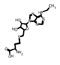 CCNc1ncnc2c1ncn2C1OC(CSCCC(N)C(=O)O)C(O)C1O